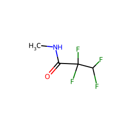 CNC(=O)C(F)(F)C(F)F